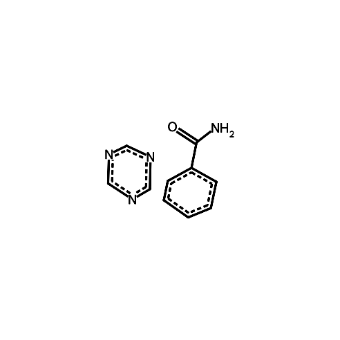 NC(=O)c1ccccc1.c1ncncn1